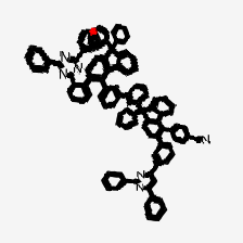 N#Cc1ccc(-c2c(-c3cccc(-c4cc(-c5ccccc5)nc(-c5ccccc5)n4)c3)ccc3c2-c2ccccc2C3(c2ccccc2)c2cccc(-c3cccc(-c4c(-c5ccccc5-c5nc(-c6ccccc6)nc(-c6ccccc6)n5)ccc5c4-c4ccccc4C5(c4ccccc4)c4ccccc4)c3)c2)cc1